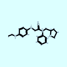 CCOc1ccc(OCC(=O)N(CC2CCCO2)c2ccccc2)cc1